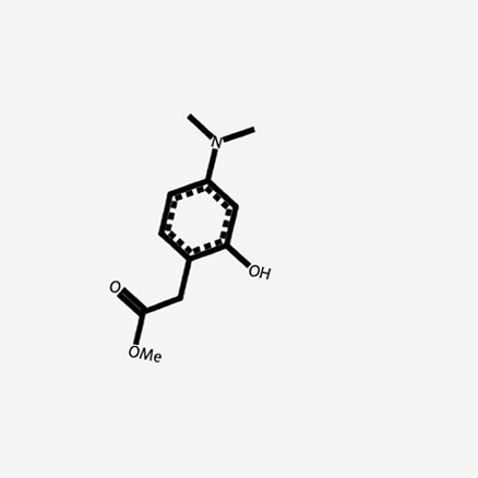 COC(=O)Cc1ccc(N(C)C)cc1O